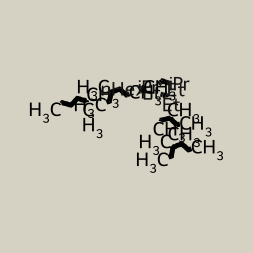 CC(C)CC(C)C.CCC(C)C(C)C.CCC(CC)CC.CCCC(C)CC.CCCC(C)CC.CCCCC(C)C.CCCCCCC